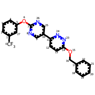 FC(F)(F)c1cccc(Oc2ncc(-c3ccc(OCc4ccccc4)nn3)cn2)c1